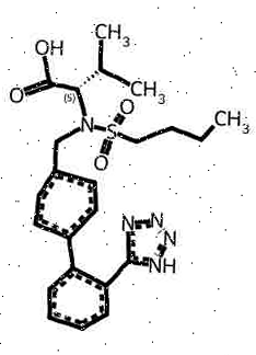 CCCCS(=O)(=O)N(Cc1ccc(-c2ccccc2-c2nnn[nH]2)cc1)[C@H](C(=O)O)C(C)C